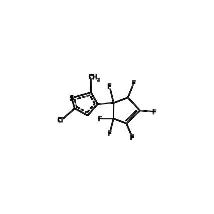 Cc1sc(Cl)cc1C1(F)C(F)C(F)=C(F)C1(F)F